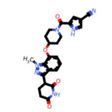 Cn1nc(C2CCC(=O)NC2=O)c2cccc(OC3CCN(C(=O)c4cc(C#N)c[nH]4)CC3)c21